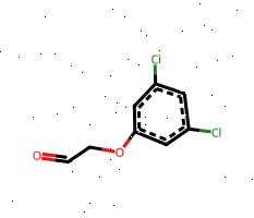 O=[C]COc1cc(Cl)cc(Cl)c1